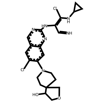 N=C/C(Nc1ncc2cc(Cl)c(N3CCC4(CC3)COCC4O)cc2n1)=C(/Cl)NC1CC1